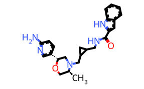 C[C@H]1CO[C@H](c2ccc(N)nc2)CN1CC1CC1CNC(=O)c1cc2ccccc2[nH]1